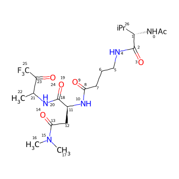 CC(=O)N[C@H](C(=O)NCCCC(=O)N[C@@H](CC(=O)N(C)C)C(=O)NC(C)C(=O)C(F)(F)F)C(C)C